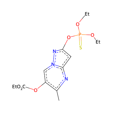 CCOC(=O)Oc1cn2nc(OP(=S)(OCC)OCC)cc2nc1C